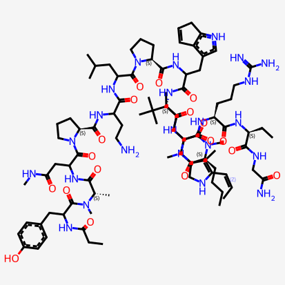 C/C=C\C1=C(C)C(CC(NC(=O)[C@@H](NC(=O)C(Cc2c[nH]c3c2C=CC3)NC(=O)[C@@H]2CCCN2C(=O)C(CC(C)C)NC(=O)C(CCN)NC(=O)[C@@H]2CCCN2C(=O)C(CC(=O)NC)NC(=O)[C@H](C)N(C)C(=O)C(Cc2ccc(O)cc2)NC(=O)CC)C(C)(C)C)C(=O)N(C)[C@@H](CCCC)C(=O)N(C)C(CCCC)C(=O)N[C@@H](CCCNC(=N)N)C(=O)N[C@@H](CC)C(=O)NCC(N)=O)CN1